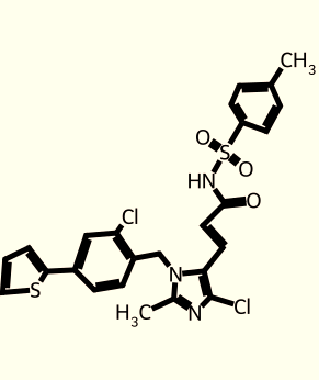 Cc1ccc(S(=O)(=O)NC(=O)C=Cc2c(Cl)nc(C)n2Cc2ccc(-c3cccs3)cc2Cl)cc1